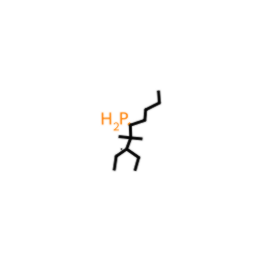 CCCCC(P)C(C)(C)[C](CC)CC